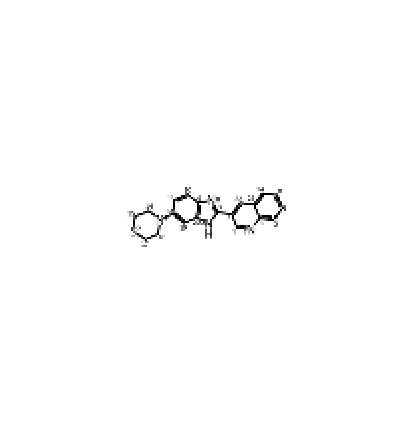 c1ccc2ncc(-c3nc4ccc(N5CCSCC5)cc4[nH]3)cc2c1